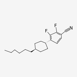 CCCCCC[C@H]1CC[C@H](c2ccc(C#N)c(F)c2F)CC1